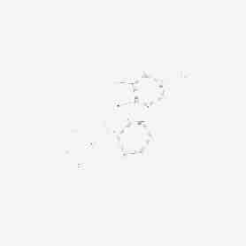 N#Cc1ccc2c(c1)COC2(CCC1OCCO1)c1ccc(F)cc1